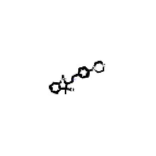 CCC1(C)C(/C=C/c2ccc(N3CCOCC3)cc2)=[N+](C)c2ccccc21